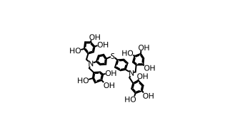 Oc1cc(O)c(CN(Cc2cc(O)c(O)cc2O)c2ccc(Sc3ccc(N(Cc4cc(O)c(O)cc4O)Cc4cc(O)c(O)cc4O)cc3)cc2)cc1O